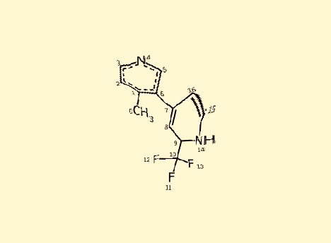 Cc1ccncc1C1=CC(C(F)(F)F)N[C]=C1